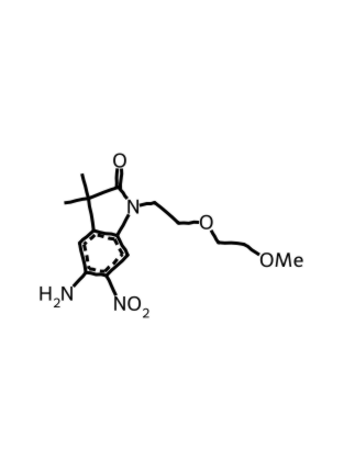 COCCOCCN1C(=O)C(C)(C)c2cc(N)c([N+](=O)[O-])cc21